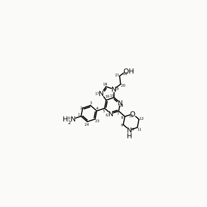 Nc1ccc(-c2nc(C3CNCCO3)nc3c2ncn3CCO)cc1